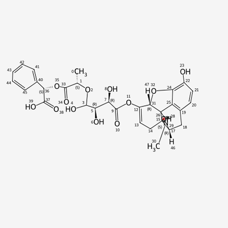 C[C@H](OC(O)[C@H](O)[C@@H](O)C(=O)OC1=CC[C@@]2(O)[C@H]3Cc4ccc(O)c5c4C2(CCN3C)[C@H]1O5)C(=O)O[C@H](C(=O)O)c1ccccc1